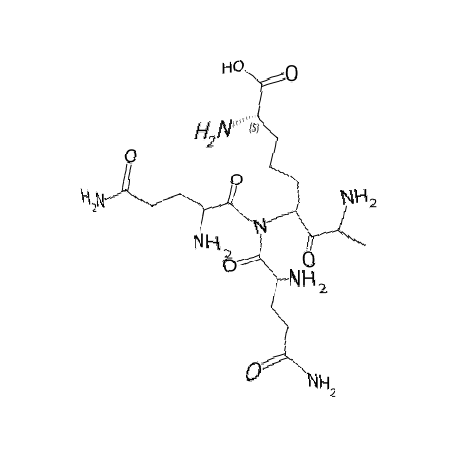 CC(N)C(=O)C(CCC[C@H](N)C(=O)O)N(C(=O)C(N)CCC(N)=O)C(=O)C(N)CCC(N)=O